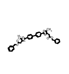 Cc1oc(-c2ccc(-c3ccc(-c4nc(CC(=O)OCc5ccccc5)c(C)o4)cc3)cc2)nc1CC(=O)OCc1ccccc1